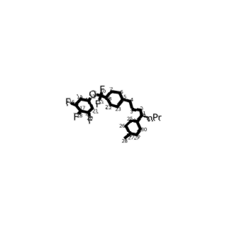 CCC[C@H](CCCC1CCC(C(F)(F)OC2CC(F)C(F)C(F)C2)CC1)C1CCC(C)CC1